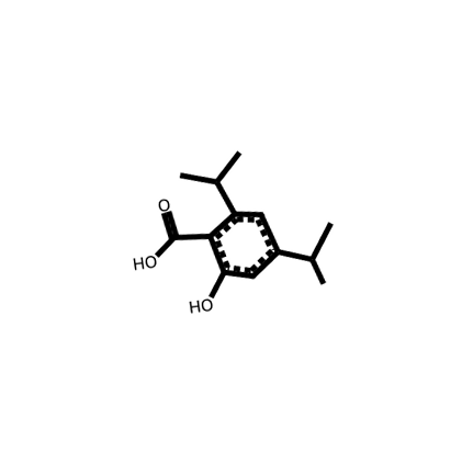 CC(C)c1cc(O)c(C(=O)O)c(C(C)C)c1